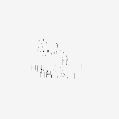 COc1ccc(CN2CCN(Cc3ccc(C(=O)NC(=N)N)cc3S(N)(=O)=O)CC2)c(OC)c1OC.Cl